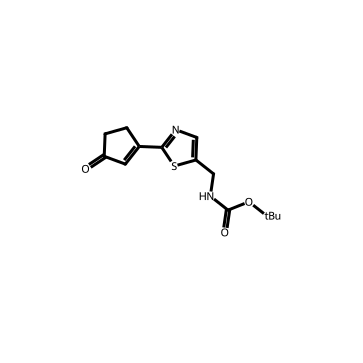 CC(C)(C)OC(=O)NCc1cnc(C2=CC(=O)CC2)s1